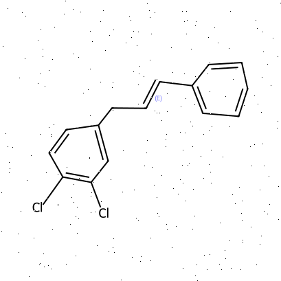 Clc1ccc(C/C=C/c2ccccc2)cc1Cl